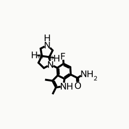 Cc1[nH]c2c(C(N)=O)cc(F)c(N3CC[C@@H]4CNC[C@@H]43)c2c1C